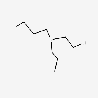 CCCCN(CCC)CCS